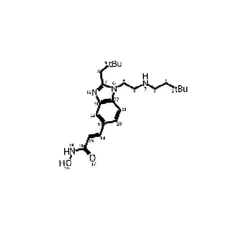 CC(C)(C)CCNCCn1c(CC(C)(C)C)nc2cc(C=CC(=O)NO)ccc21